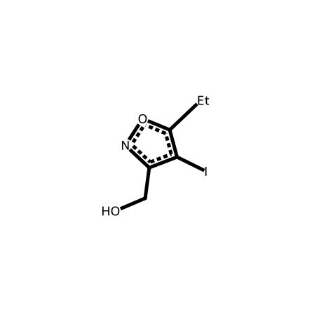 CCc1onc(CO)c1I